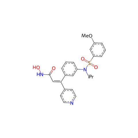 COc1cccc(S(=O)(=O)N(c2cccc(/C(=C\C(=O)NO)c3ccncc3)c2)C(C)C)c1